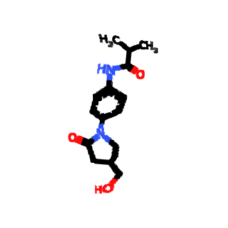 CC(C)C(=O)Nc1ccc(N2CC(CO)CC2=O)cc1